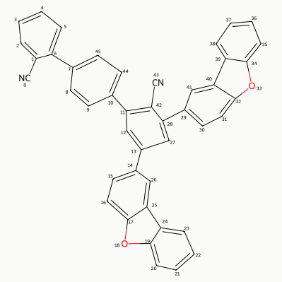 N#Cc1ccccc1-c1ccc(-c2cc(-c3ccc4oc5ccccc5c4c3)cc(-c3ccc4oc5ccccc5c4c3)c2C#N)cc1